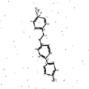 CCc1ccc(-c2ccc(CCc3ccc(C(F)(F)F)cc3)cc2)cc1